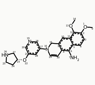 COc1ccc2c(N)c3c(cc2c1OC)CN(c1cncc(O[C@@H]2CCNC2)c1)C=C3